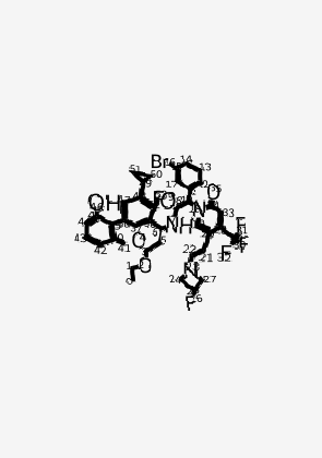 CCOC(=O)C[C@H](NC(=O)C(c1cccc(Br)c1)n1cc(CCN2CC(F)C2)c(C(F)(F)F)cc1=O)c1cc(-c2c(C)cccc2O)cc(C2CC2)c1F